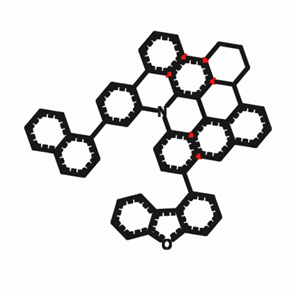 c1ccc(-c2ccc(-c3cccc4ccccc34)cc2N(c2ccc(-c3cccc4oc5ccccc5c34)cc2)c2ccccc2-c2cccc3cccc(C4CCCCC4)c23)cc1